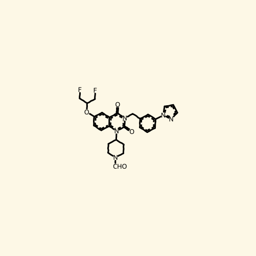 O=CN1CCC(n2c(=O)n(Cc3cccc(-n4cccn4)c3)c(=O)c3cc(OC(CF)CF)ccc32)CC1